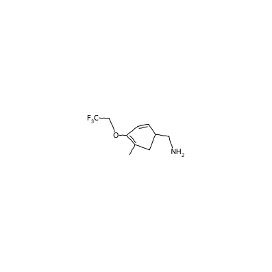 CC1=C(OCC(F)(F)F)C=CC(CN)C1